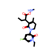 CCC(C(=O)ONC)C1=C(C)CCN(c2cc(F)cn(CC)c2=O)C1=O